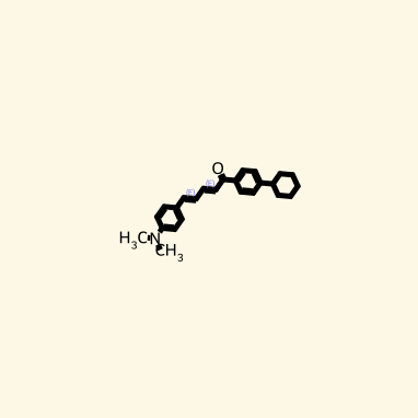 CN(C)c1ccc(/C=C/C=C/C(=O)c2ccc(C3CCCCC3)cc2)cc1